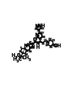 CC(C)(C)[C@H]1CCc2nc3sc(C(=O)NC(CCN4CCC(O)CC4)c4ccc(-c5cn[nH]c5)nc4)nc3cc2C1